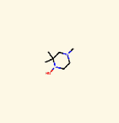 CN1CCN(O)C(C)(C)C1